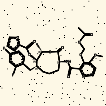 COc1ccnc(C(=O)N[C@H]2CCC[C@H](Cc3ccc(F)cc3F)[C@@H](OC(=O)c3ccco3)[C@H](C)OC2=O)c1OCOC(C)=O